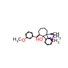 C#CC1(CN(C)C)CCCCC(=Cc2cccc(OC)c2)C1(O)c1ccccc1